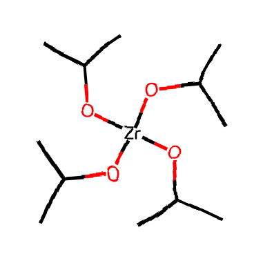 CC(C)[O][Zr]([O]C(C)C)([O]C(C)C)[O]C(C)C